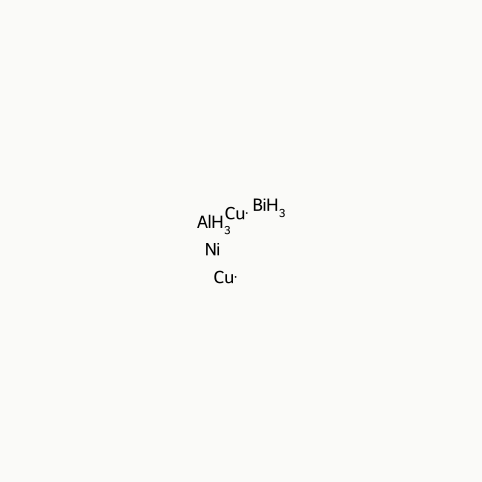 [AlH3].[BiH3].[Cu].[Cu].[Ni]